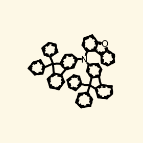 c1ccc(C2(c3ccccc3)c3ccccc3-c3cc(N(c4ccc5c(c4)C(c4ccccc4)(c4ccccc4)c4ccccc4-5)c4cccc5oc6ccccc6c45)ccc32)cc1